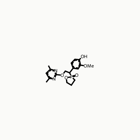 COc1cc(C(COc2nc(C)cc(C)n2)P2(=O)CCCO2)ccc1O